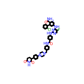 NC(=O)c1ccc(Nc2nc(Nc3ccc(C(=O)Nc4ccc(CN5CCN(c6ccc(C7CCC(=O)NC7=O)cc6)CC5)cc4)cc3)ncc2F)cc1-c1ccccc1Cl